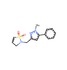 CC(C)(C)n1nc(CN2CC=CS2(=O)=O)cc1-c1ccccc1